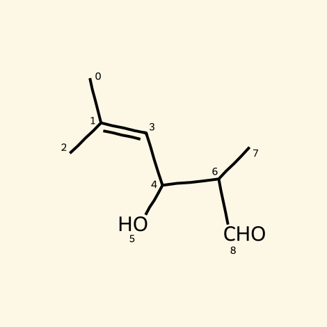 CC(C)=CC(O)C(C)C=O